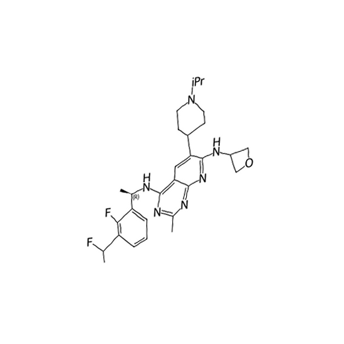 Cc1nc(N[C@H](C)c2cccc(C(C)F)c2F)c2cc(C3CCN(C(C)C)CC3)c(NC3COC3)nc2n1